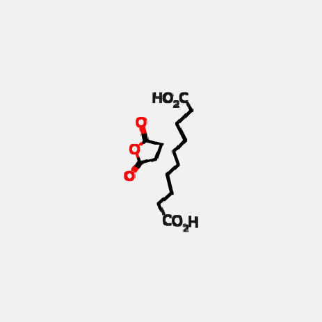 O=C(O)CCCCCCCCC(=O)O.O=C1CCC(=O)O1